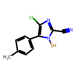 Cc1ccc(-c2c(Cl)nc(C#N)n2S)cc1